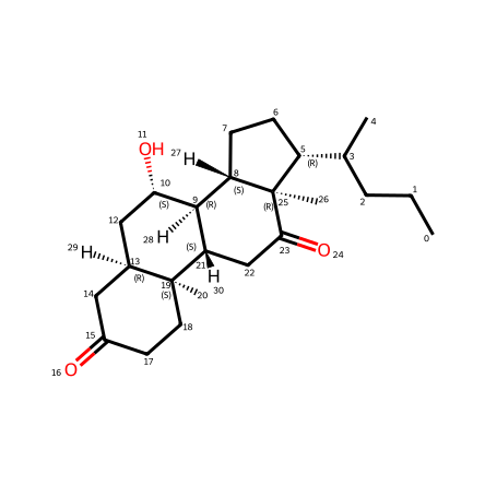 CCCC(C)[C@H]1CC[C@H]2[C@@H]3[C@@H](O)C[C@@H]4CC(=O)CC[C@]4(C)[C@H]3CC(=O)[C@]12C